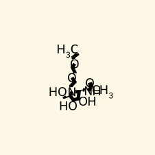 CCCOCCOCCN1[C@H](CO)[C@@H](O)[C@H](O)[C@H]1CNC(C)=O